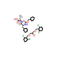 C[C@H](NC(=O)[C@H](Cc1ccccc1)NC(=O)OCc1ccccc1)C(=O)O.O=C(COCc1c(F)cccc1F)COCc1c(F)cccc1F